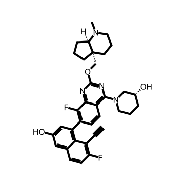 C#Cc1c(F)ccc2cc(O)cc(-c3ccc4c(N5CCC[C@@H](O)C5)nc(OC[C@]56CCC[C@H]5N(C)CCC6)nc4c3F)c12